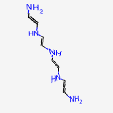 NC=CNC=CNC=CNC=CN